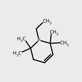 CCP1C(C)(C)C=CCC1(C)C